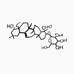 CC1(C)CCC2(C(=O)O)CCC3(C)C(=CCC4C5(C)CCC(OC6OC(CO)C(O)C(O)C6O)C(C)(C=O)C5CCC43C)C2C1